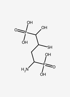 NC(CC(S)C(O)P(=O)(O)O)P(=O)(O)O